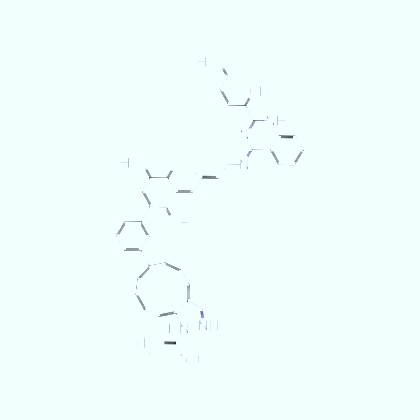 C=C/C=C\C(=C)/C(N)=N/C(=N\C/C=C/C=C\C(=C)C(=C)/C=C(\C=C)c1cccc(-c2ccccc(NC(=C)CCC)c(C=N)ccc2)c1)c1ccccc1